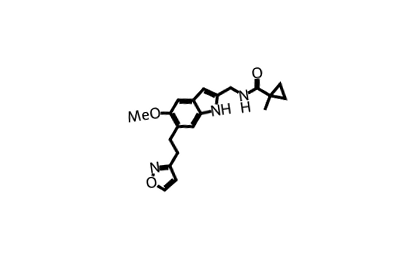 COc1cc2cc(CNC(=O)C3(C)CC3)[nH]c2cc1CCc1ccon1